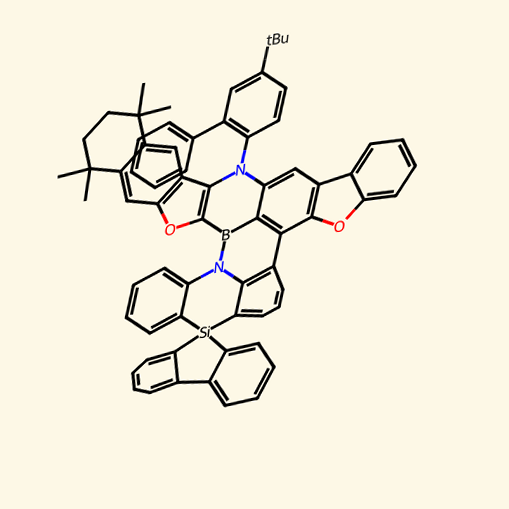 CC(C)(C)c1ccc(N2c3cc4c(oc5ccccc54)c4c3B(c3oc5cc6c(cc5c32)C(C)(C)CCC6(C)C)N2c3ccccc3[Si]3(c5ccccc5-c5ccccc53)c3cccc-4c32)c(-c2ccccc2)c1